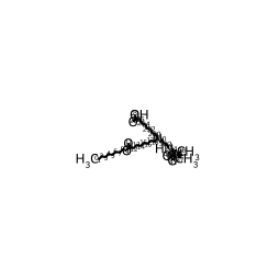 CCCCCCCCCOC(=O)CCCCCCCN(CCCCCCCC(=O)O)CCCN/C=C(/N(C)C)[N+](=O)[O-]